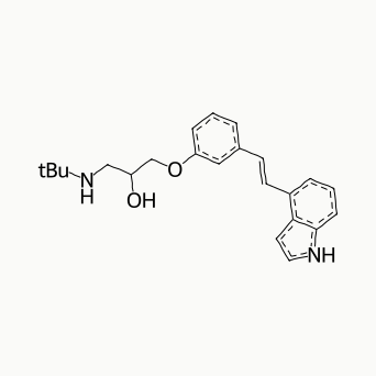 CC(C)(C)NCC(O)COc1cccc(C=Cc2cccc3[nH]ccc23)c1